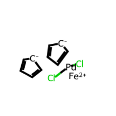 [Cl][Pd][Cl].[Fe+2].c1cc[cH-]c1.c1cc[cH-]c1